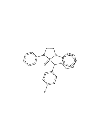 O=P1(C(c2ccc(F)cc2)N2CCOCC2)N(c2ccccc2)CCN1c1ccccc1